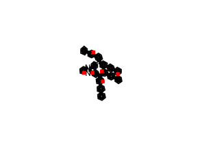 c1ccc(-c2ccc(-c3ccc(N(c4ccc(-c5nc6ccccc6nc5-c5ccc(N(c6ccc(-c7ccc(-c8ccccc8)cc7)cc6)c6cccc(-c7ccc(-c8ccccc8)cc7)c6)cc5)cc4)c4cccc(-c5ccc(-c6ccccc6)cc5)c4)cc3)cc2)cc1